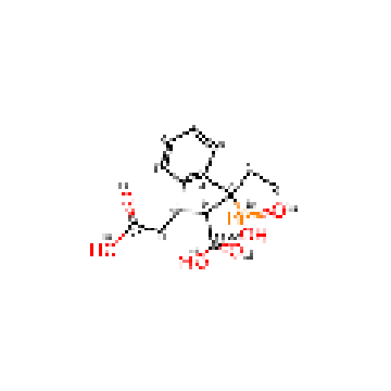 CCC(c1ccccc1)(C(CCC(=O)O)C(=O)O)[PH](=O)O